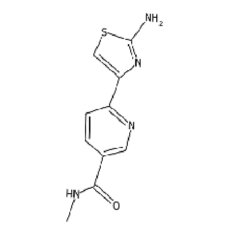 CNC(=O)c1ccc(-c2csc(N)n2)nc1